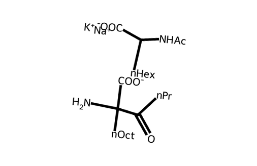 CCCCCCC(NC(C)=O)C(=O)[O-].CCCCCCCCC(N)(C(=O)[O-])C(=O)CCC.[K+].[Na+]